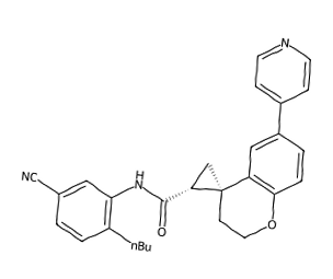 CCCCc1ccc(C#N)cc1NC(=O)[C@@H]1C[C@]12CCOc1ccc(-c3ccncc3)cc12